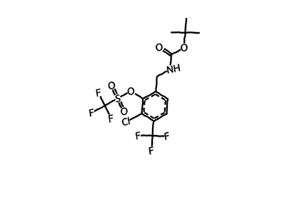 CC(C)(C)OC(=O)NCc1ccc(C(F)(F)F)c(Cl)c1OS(=O)(=O)C(F)(F)F